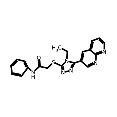 CCn1c(SCC(=O)Nc2ccccc2)nnc1-c1cnc2ncccc2c1